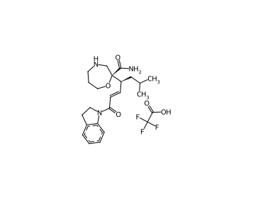 CC(C)C[C@@H](C=CC(=O)N1CCc2ccccc21)[C@@]1(C(N)=O)CNCCCO1.O=C(O)C(F)(F)F